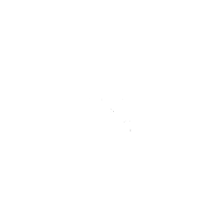 CCCCCCCC[N+](CCCCCCCC)(c1ccccc1)c1ccccc1.[Br-]